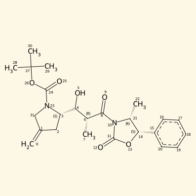 C=C1C[C@@H](C(O)[C@@H](C)C(=O)N2C(=O)O[C@@H](c3ccccc3)[C@H]2C)N(C(=O)OC(C)(C)C)C1